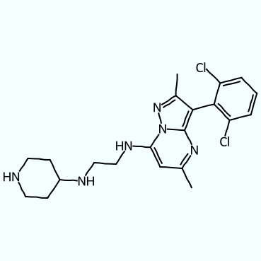 Cc1cc(NCCNC2CCNCC2)n2nc(C)c(-c3c(Cl)cccc3Cl)c2n1